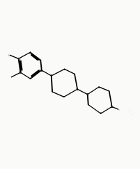 CC1CCC(C2CCC(c3ccc(I)c(F)c3)CC2)CC1